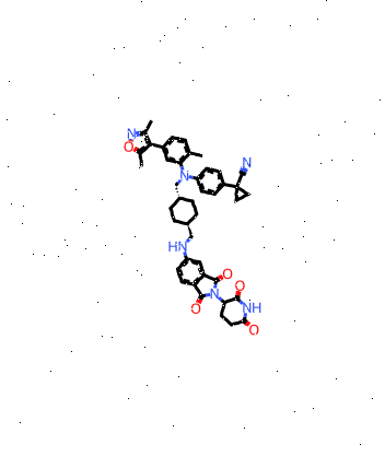 Cc1ccc(-c2c(C)noc2C)cc1N(C[C@H]1CC[C@H](CNc2ccc3c(c2)C(=O)N(C2CCC(=O)NC2=O)C3=O)CC1)c1ccc(C2(C#N)CC2)cc1